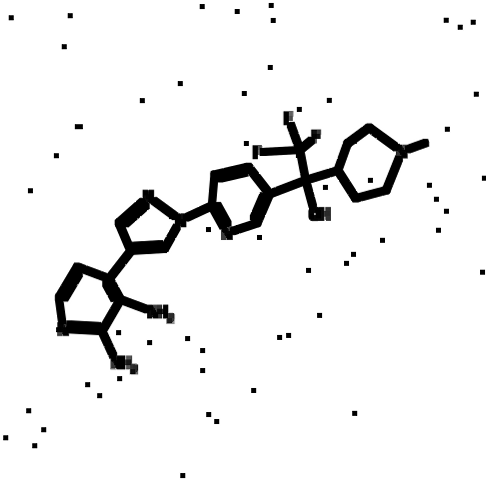 CN1CCC(C(O)(c2ccc(-n3cc(-c4ccnc(N)c4N)cn3)nc2)C(F)(F)F)CC1